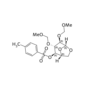 COCO[C@@H]1[C@@H](OCOC)[C@@H]2OC[C@@H](O2)[C@H]1OS(=O)(=O)c1ccc(C)cc1